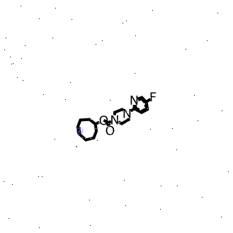 O=C(OC1CC/C=C\CCC1)N1CCN(c2ccc(F)cn2)CC1